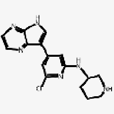 Clc1cc(-c2c[nH]c3nccnc23)cc(NC2CCCNC2)n1